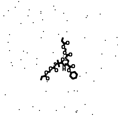 CCC(=O)OCOC(=O)SC[C@H](NC(=O)C(C)(C)SC(=O)OCOC(=O)CC)C(=O)OC1CCCCC1